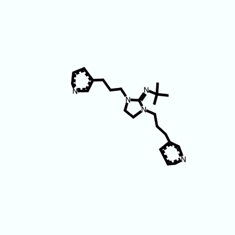 CC(C)(C)N=C1N(CCCc2cccnc2)CCN1CCCc1cccnc1